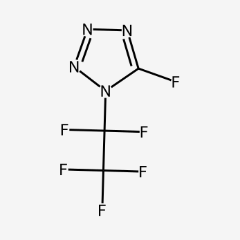 Fc1nnnn1C(F)(F)C(F)(F)F